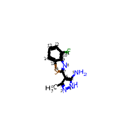 Cc1n[nH]c(N)c1-c1nc2c(F)cccc2s1